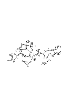 COc1cc(C(=O)NCC(O)(c2cc3c(c(-c4ccc(F)c(Cl)c4F)n2)OC[C@]3(C)C(N)=O)C2CC2)cc2cc(C)c(Cl)nc12